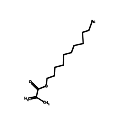 C=C(C)C(=O)OCCCCCCCCCCC(C)=O